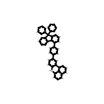 c1ccc(C2(c3ccccc3)c3ccccc3-c3c(-c4ccc(-c5ccc6c(c5)-c5cccc7cccc(c57)O6)cc4)cccc32)cc1